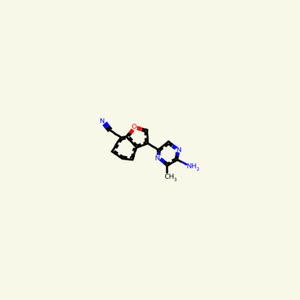 Cc1nc(-c2coc3c(C#N)cccc23)cnc1N